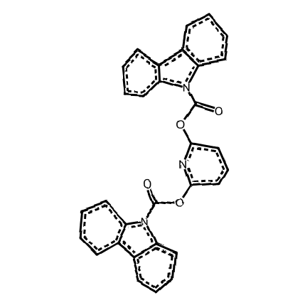 O=C(Oc1cccc(OC(=O)n2c3ccccc3c3ccccc32)n1)n1c2ccccc2c2ccccc21